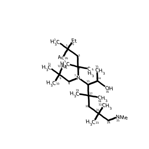 CCC(C)(CC(C)(C)N(CC(C)(C)C(C)=O)C(C(C)O)C(C)(C)CC(C)(C)CNC)C(C)=O